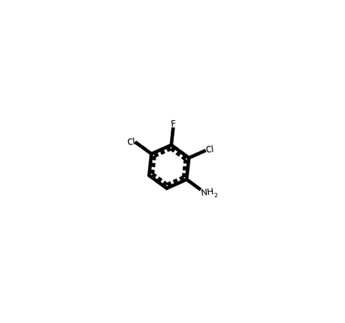 Nc1ccc(Cl)c(F)c1Cl